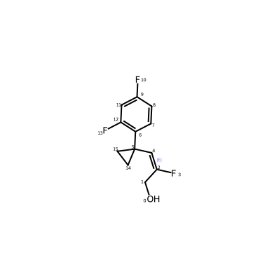 OC/C(F)=C\C1(c2ccc(F)cc2F)CC1